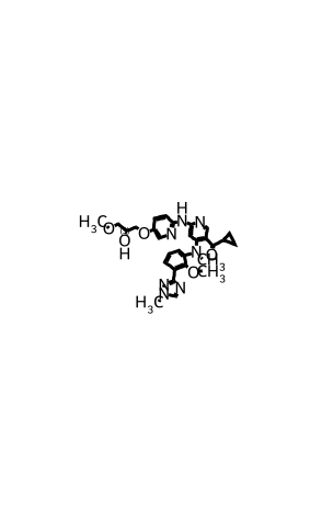 COC[C@H](O)COc1ccc(Nc2cc(N(C)c3cccc(-c4ncn(C)n4)c3OC)c(C(=O)C3CC3)cn2)nc1